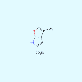 CCOC(=O)c1cc2c(C)coc2[nH]1